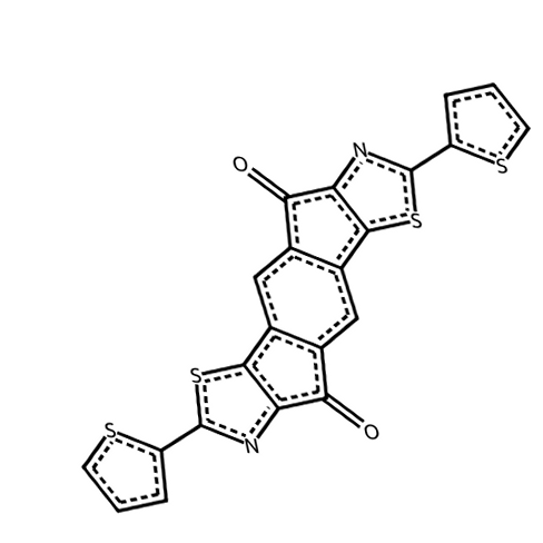 O=c1c2cc3c(cc2c2sc(-c4cccs4)nc12)c(=O)c1nc(-c2cccs2)sc13